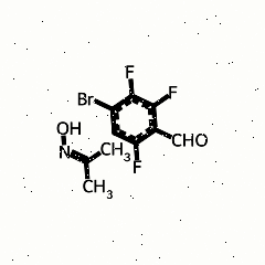 CC(C)=NO.O=Cc1c(F)cc(Br)c(F)c1F